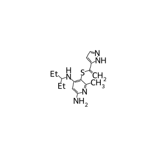 C=C(Sc1c(NC(CC)CC)cc(N)nc1C)c1ccn[nH]1